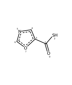 O=C(S)c1cnco1